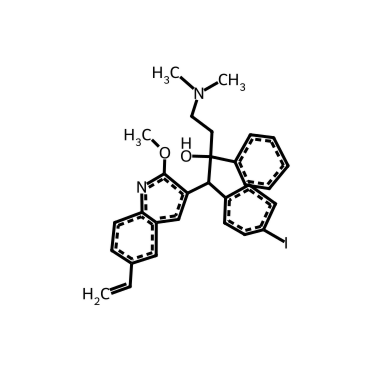 C=Cc1ccc2nc(OC)c(C(c3ccc(I)cc3)C(O)(CCN(C)C)c3ccccc3)cc2c1